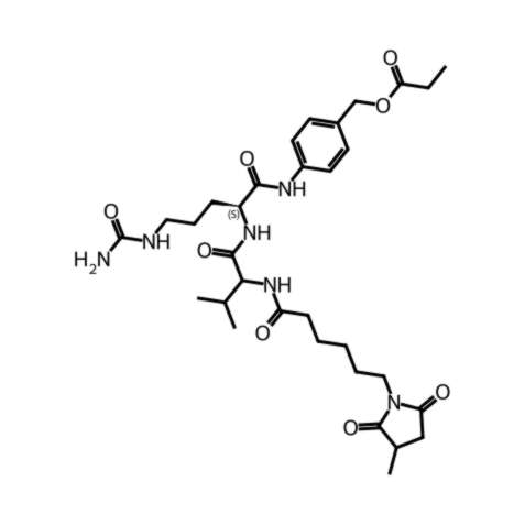 CCC(=O)OCc1ccc(NC(=O)[C@H](CCCNC(N)=O)NC(=O)C(NC(=O)CCCCCN2C(=O)CC(C)C2=O)C(C)C)cc1